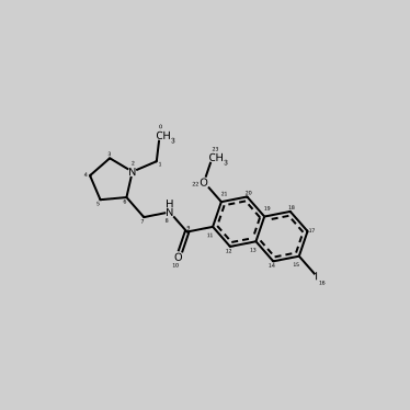 CCN1CCCC1CNC(=O)c1[c]c2cc(I)ccc2cc1OC